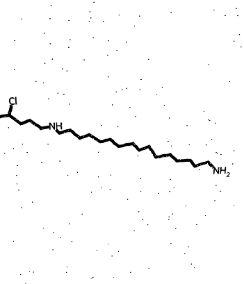 CC(Cl)CCCNCCCCCCCCCCCCCCCCN